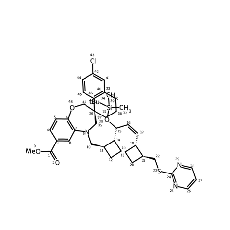 COC(=O)c1ccc2c(c1)N(C[C@@H]1CC[C@H]1C(/C=C\[C@H]1CC[C@@H]1CSc1ncccn1)O[Si](C)(C)C(C)(C)C)C[C@@]1(CCCc3cc(Cl)ccc31)CO2